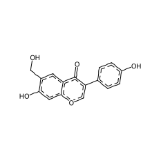 O=c1c(-c2ccc(O)cc2)coc2cc(O)c(CO)cc12